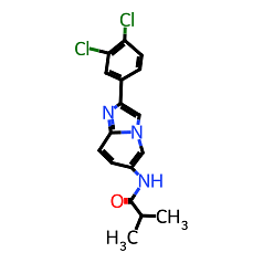 CC(C)C(=O)Nc1ccc2nc(-c3ccc(Cl)c(Cl)c3)cn2c1